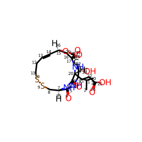 CC(C)[C@H]1NC(=O)[C@H]2CSSCC/C=C/[C@H](CC(=O)N[C@H](CCC(=O)O)C(=O)N2)OC(=O)C[C@@H]1O